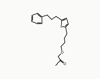 CC(=O)COCCCCc1ccc(CCCc2ccccc2)s1